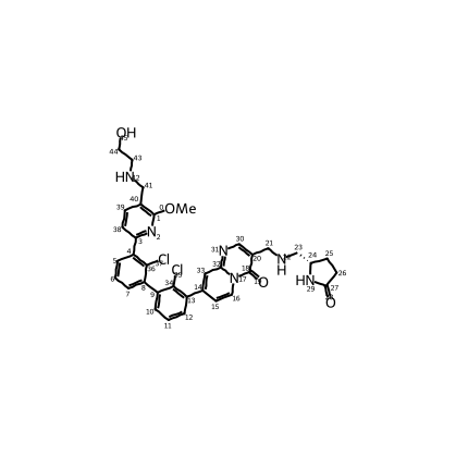 COc1nc(-c2cccc(-c3cccc(-c4ccn5c(=O)c(CNC[C@@H]6CCC(=O)N6)cnc5c4)c3Cl)c2Cl)ccc1CNCCO